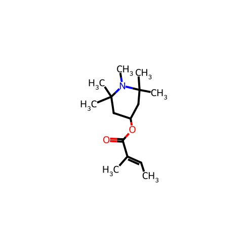 CC=C(C)C(=O)OC1CC(C)(C)N(C)C(C)(C)C1